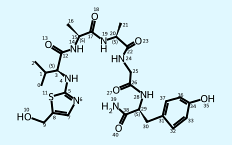 CC(C)[C@H](Nc1ncc(CO)s1)C(=O)N[C@@H](C)C(=O)N[C@@H](C)C(=O)NCC(=O)N[C@@H](Cc1ccc(O)cc1)C(N)=O